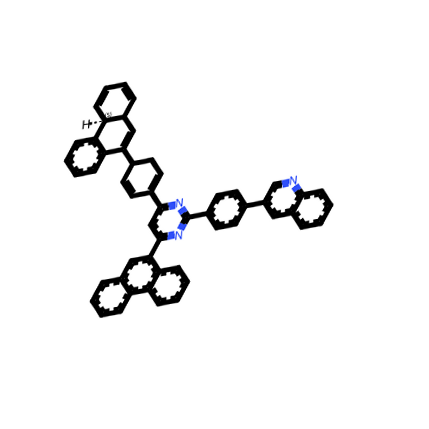 C1=CC2C=C(C3C=CC(c4cc(-c5cc6ccccc6c6ccccc56)nc(-c5ccc(-c6cnc7ccccc7c6)cc5)n4)=CC3)c3ccccc3[C@H]2C=C1